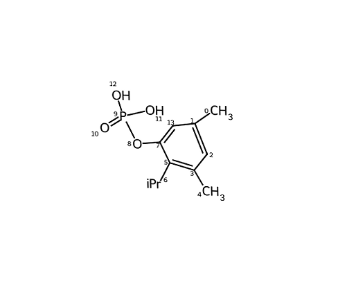 Cc1cc(C)c(C(C)C)c(OP(=O)(O)O)c1